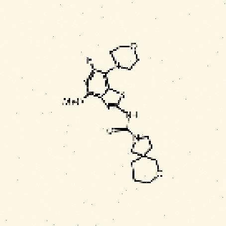 COc1nc(F)c(N2CCOCC2)c2sc(NC(=O)N3CCC4(CCCOC4)C3)nc12